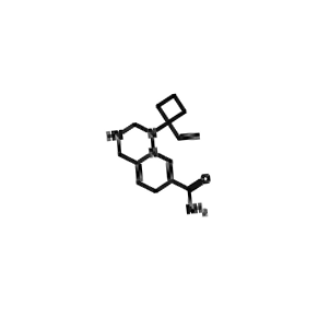 C=CC1(N2CNCC3=CCC(C(N)=O)=CN32)CCC1